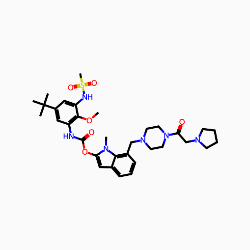 COc1c(NC(=O)Oc2cc3cccc(CN4CCN(C(=O)CN5CCCC5)CC4)c3n2C)cc(C(C)(C)C)cc1NS(C)(=O)=O